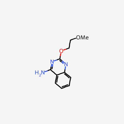 COCCOc1nc(N)c2ccccc2n1